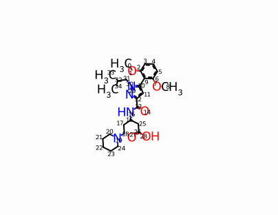 COc1cccc(OC)c1-c1cc(C(=O)NC(CCN2CCCCC2)CC(=O)O)nn1CC(C)C